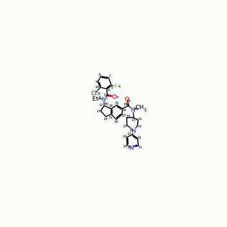 CCN(C(=O)c1c(F)cccc1Cl)[C@@H]1CCc2ccc(C(=O)N(C)C3CCN(c4ccncc4)CC3)cc21